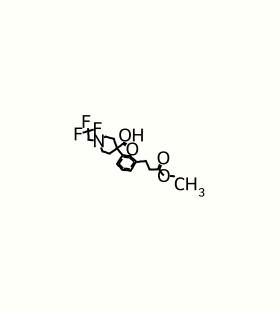 CCOC(=O)CCc1cccc(C2(C(=O)O)CCN(CC(F)(F)F)CC2)c1